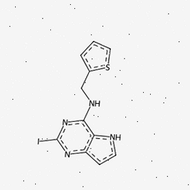 Ic1nc(NCc2cccs2)c2[nH]ccc2n1